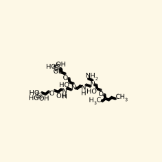 CCCCC(CC)COCC(O)CN(CCN)CCNCCN(CCNCC(O)COCCC[Si](O)(O)O)CC(O)COCCC[Si](O)(O)O